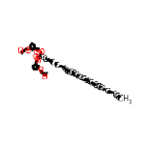 C=C=C=C=C=C=C=C=C=C=C=C=C=C=C=C=C=C=C=C=C=C=C=C=C=C=C=C=C=C=C=C=C=C(C(=O)OCc1cccc(OCC2CO2)c1)C(=O)OCc1cccc(OCC2CO2)c1